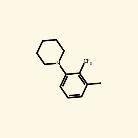 Cc1c[c]cc(N2CCCCC2)c1C(F)(F)F